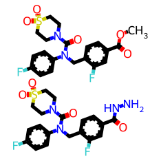 COC(=O)c1ccc(CN(C(=O)N2CCS(=O)(=O)CC2)c2ccc(F)cc2)c(F)c1.NNC(=O)c1ccc(CN(C(=O)N2CCS(=O)(=O)CC2)c2ccc(F)cc2)c(F)c1